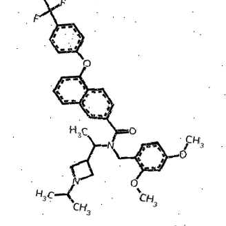 COc1ccc(CN(C(=O)c2ccc3c(Oc4ccc(C(F)(F)F)cc4)cccc3c2)C(C)C2CN(C(C)C)C2)c(OC)c1